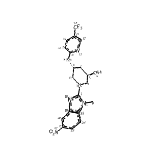 Cn1c(N2C[C@H](O)C[C@@H](Nc3ncc(C(F)(F)F)cn3)C2)nc2cc([N+](=O)[O-])ccc21